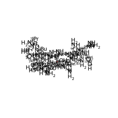 CC[C@H](C)[C@H](NC(=O)[C@@H]1C[C@@H](O)CN1C(=O)[C@@H](N)C(C)C)C(=O)N[C@H](C(=O)N[C@@H](Cc1ccc(O)cc1)C(=O)N[C@H](C(=O)N[C@@H](CC(N)=O)C(=O)N[C@@H](CCCNC(=N)N)C(=O)N[C@@H](CCCNC(=N)N)C(=O)N[C@H](C(=O)N[C@H](CCN)C(=O)N[C@@H](CCCCN)C(=O)N[C@@H](CS)C(=O)N[C@@H](CCN)C(=O)N[C@@H](CCCNC(=N)N)C(=O)N[C@@H](Cc1ccc(O)cc1)C(=O)O)[C@@H](C)O)C(C)(C)S)[C@@H](C)O